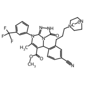 COC(=O)C1=C(C)N(c2cccc(C(F)(F)F)c2)c2n[nH]c(=O)n2C1c1ccc(C#N)cc1CCC[N+]12CCN(CC1)CC2